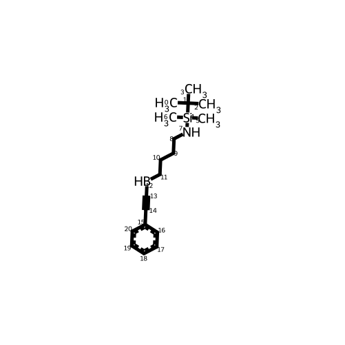 CC(C)(C)[Si](C)(C)NCCCCBC#Cc1ccccc1